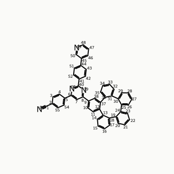 N#Cc1ccc(-c2cc(-c3ccc4c5ccccc5c5ccccc5c5ccccc5c5ccccc5c4c3)nc(-c3ccc(-c4cccnc4)cc3)n2)cc1